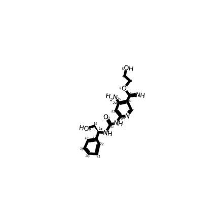 N=C(OCCO)c1cnc(NC(=O)N[C@H](CO)c2ccccc2)cc1N